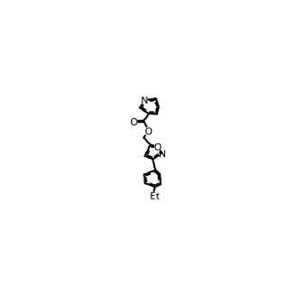 CCc1ccc(-c2cc(COC(=O)c3cccnc3)on2)cc1